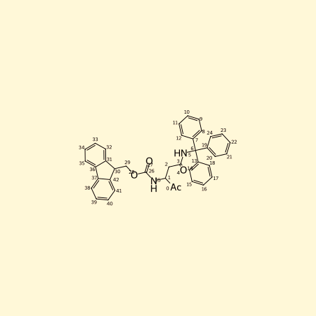 CC(=O)C(CC(=O)NC(c1ccccc1)(c1ccccc1)c1ccccc1)NC(=O)OCC1c2ccccc2-c2ccccc21